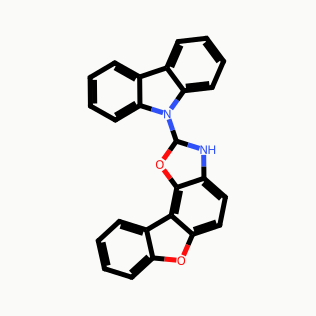 c1ccc2c(c1)oc1ccc3c(c12)OC(n1c2ccccc2c2ccccc21)N3